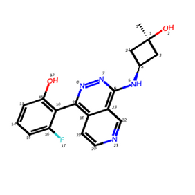 C[C@]1(O)C[C@@H](Nc2nnc(-c3c(O)cccc3F)c3ccncc23)C1